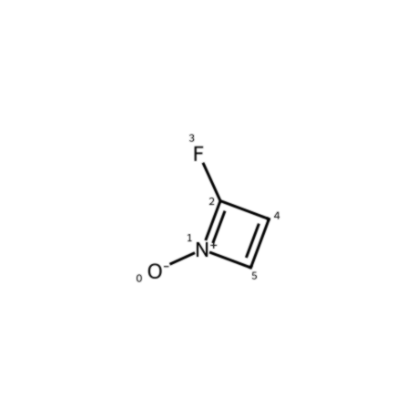 [O-][N+]1=C(F)C=C1